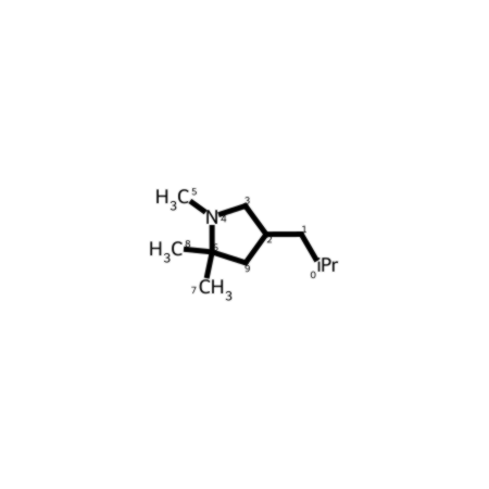 CC(C)CC1CN(C)C(C)(C)C1